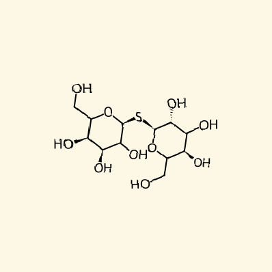 OCC1O[C@@H](S[C@@H]2OC(CO)[C@H](O)[C@H](O)C2O)[C@H](O)C(O)[C@H]1O